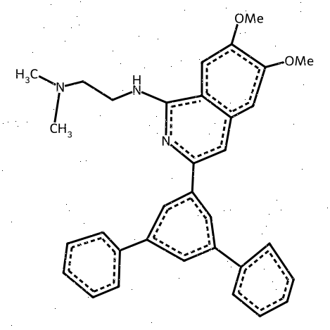 COc1cc2cc(-c3cc(-c4ccccc4)cc(-c4ccccc4)c3)nc(NCCN(C)C)c2cc1OC